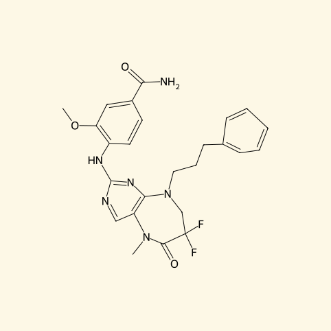 COc1cc(C(N)=O)ccc1Nc1ncc2c(n1)N(CCCc1ccccc1)CC(F)(F)C(=O)N2C